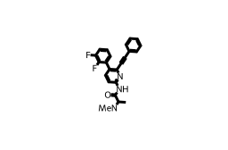 CNC(C)C(=O)Nc1ccc(-c2cccc(F)c2F)c(C#Cc2ccccc2)n1